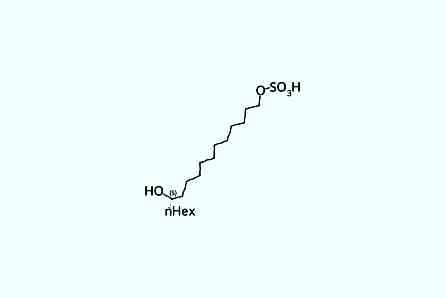 CCCCCC[C@H](O)CCCCCCCCCCCOS(=O)(=O)O